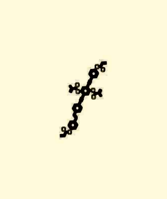 C=CC(=O)Oc1ccc(C#Cc2cc(OC(=O)C(=C)C)c(C#Cc3ccc(/C=C/c4ccc(OC(=O)C=C)cc4)cc3)cc2OC(=O)C(=C)C)cc1